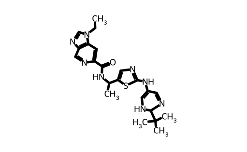 CCn1cnc2cnc(C(=O)NC(C)c3cnc(NC4=CNC(C(C)(C)C)N=C4)s3)cc21